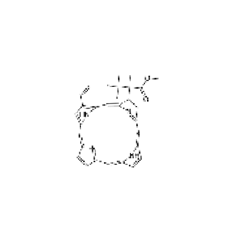 C=Cc1cc2cc3nc(cc4ccc(cc5nc(cc1[nH]2)C(C(C)(C(=O)OC)C(C)(C)C)C5)[nH]4)C=C3